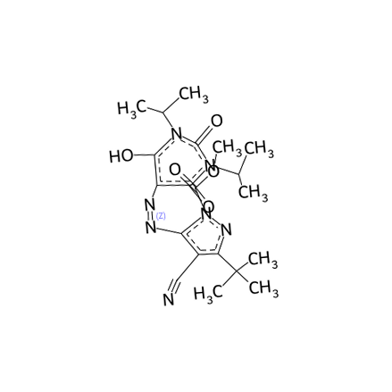 COC(=O)n1nc(C(C)(C)C)c(C#N)c1/N=N\c1c(O)n(C(C)C)c(=O)n(C(C)C)c1=O